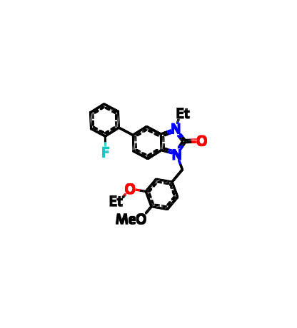 CCOc1cc(Cn2c(=O)n(CC)c3cc(-c4ccccc4F)ccc32)ccc1OC